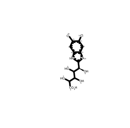 O=C(O)C(O)C(O)C(O)[C@H](O)c1nc2cc(Cl)c(Cl)cc2[nH]1